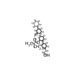 C=C(C)C(=O)Oc1cc(-c2ccc(C3CCCCC3)cc2F)ccc1-c1ccc(CCO)cc1